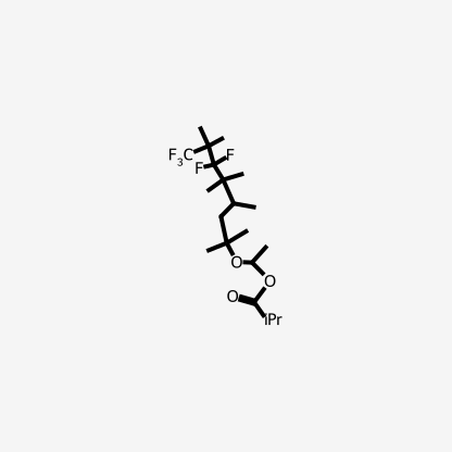 CC(OC(=O)C(C)C)OC(C)(C)CC(C)C(C)(C)C(F)(F)C(C)(C)C(F)(F)F